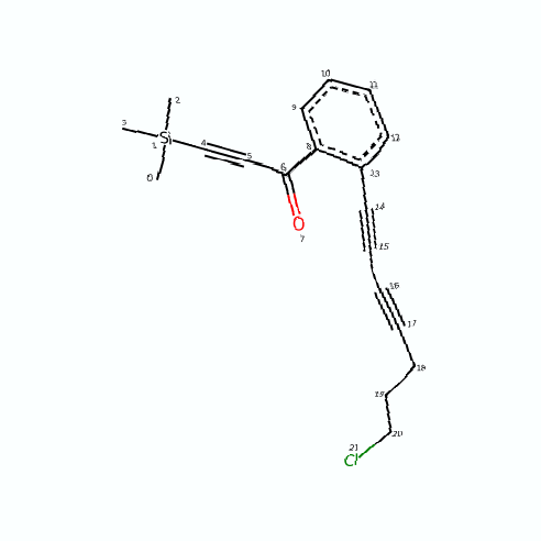 C[Si](C)(C)C#CC(=O)c1ccccc1C#CC#CCCCCl